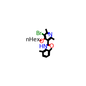 CCCCCCOc1c(Br)c(C)nc(C)c1C(=O)Nc1c(C)cccc1C